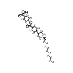 CCCCCCCCCCSc1ccc(-c2ccc(C(=O)Oc3ccc(C(=O)O)cc3)cc2)cc1